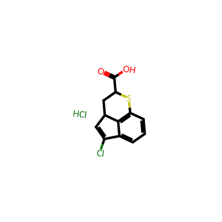 Cl.O=C(O)C1CC2C=C(Cl)c3cccc(c32)S1